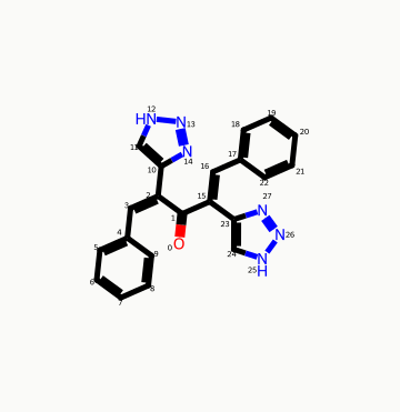 O=C(C(=Cc1ccccc1)c1c[nH]nn1)C(=Cc1ccccc1)c1c[nH]nn1